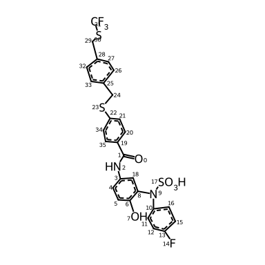 O=C(Nc1ccc(O)c(N(c2ccc(F)cc2)S(=O)(=O)O)c1)c1ccc(SCc2ccc(CSC(F)(F)F)cc2)cc1